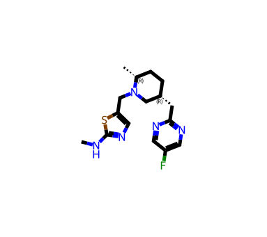 CNc1ncc(CN2C[C@@H](Cc3ncc(F)cn3)CC[C@H]2C)s1